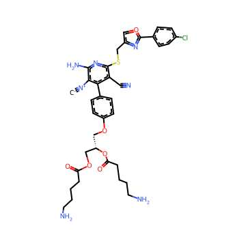 [C-]#[N+]c1c(N)nc(SCc2coc(-c3ccc(Cl)cc3)n2)c(C#N)c1-c1ccc(OC[C@@H](COC(=O)CCCCN)OC(=O)CCCCN)cc1